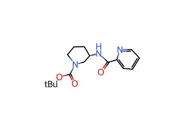 CC(C)(C)OC(=O)N1CCC[C@@H](NC(=O)c2ccccn2)C1